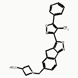 O=C(O)C1CN(Cc2ccc3c(c2)Cc2c-3noc2-c2noc(-c3ccccc3)c2C(F)(F)F)C1